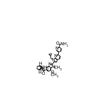 COc1cc(C(=O)N2C[C@H]3CC[C@@H]2[C@@H]3N)cc2nc(-c3cc4ccc(-c5ccc(C(N)=O)nc5)nc4n3CC3CC3)n(C)c12